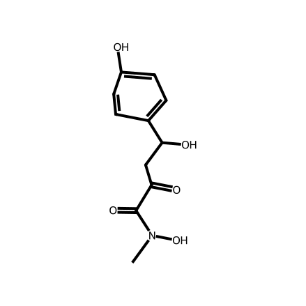 CN(O)C(=O)C(=O)CC(O)c1ccc(O)cc1